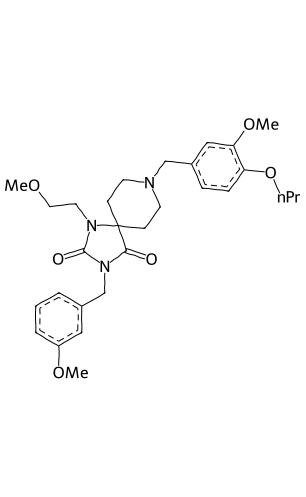 CCCOc1ccc(CN2CCC3(CC2)C(=O)N(Cc2cccc(OC)c2)C(=O)N3CCOC)cc1OC